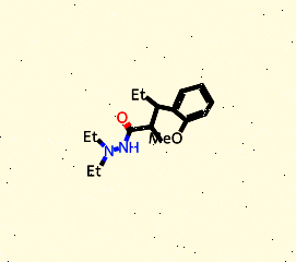 CCC(c1ccccc1OC)C(C)C(=O)NN(CC)CC